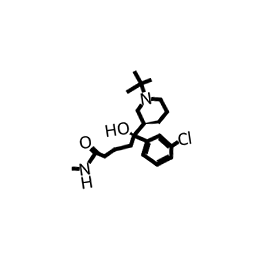 CNC(=O)CCC[C@@](O)(c1cccc(Cl)c1)[C@@H]1CCCN(C(C)(C)C)C1